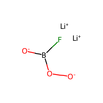 [Li+].[Li+].[O-]OB([O-])F